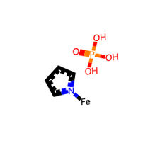 O=P(O)(O)O.[Fe][n]1cccc1